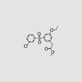 CCOc1cc(CC(=O)OC)cc(S(=O)(=O)c2cccc(Cl)c2)c1